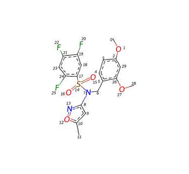 COc1ccc(CN(c2cc(C)on2)S(=O)(=O)c2cc(F)c(F)cc2F)c(OC)c1